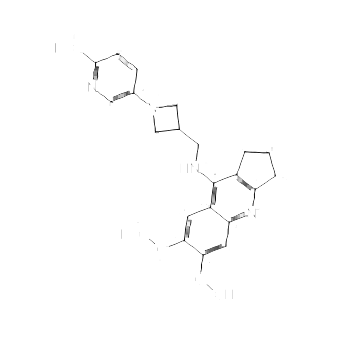 COc1cc2nc3c(c(NCC4CN(c5ccc(C)nc5)C4)c2cc1OC)CCC3